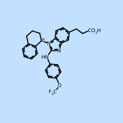 O=C(O)CCc1ccc2c(c1)nc(Nc1ccc(OC(F)(F)F)cc1)n2[C@@H]1CCCc2ccccc21